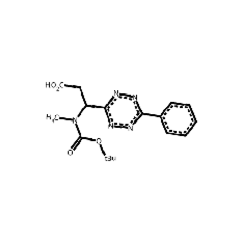 CN(C(=O)OC(C)(C)C)C(CC(=O)O)c1nnc(-c2ccccc2)nn1